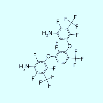 Nc1c(F)c(Oc2ccc(C(F)(F)F)c(Oc3c(F)c(N)c(F)c(C(F)(F)F)c3F)c2F)c(F)c(C(F)(F)F)c1F